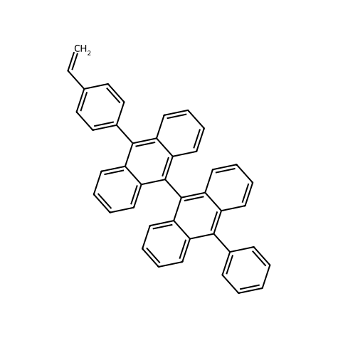 C=Cc1ccc(-c2c3ccccc3c(-c3c4ccccc4c(-c4ccccc4)c4ccccc34)c3ccccc23)cc1